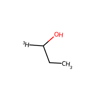 [3H]C(O)CC